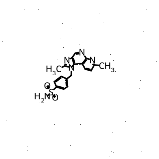 Cc1ccc2c(ncc3nc(C)n(Cc4ccc(S(N)(=O)=O)cc4)c32)n1